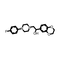 OC(CN1CCN(c2ccc(F)cc2)CC1)c1ccc2c(c1)OCCO2